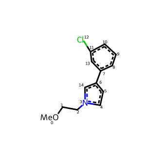 COCCn1ccc(-c2cccc(Cl)c2)c1